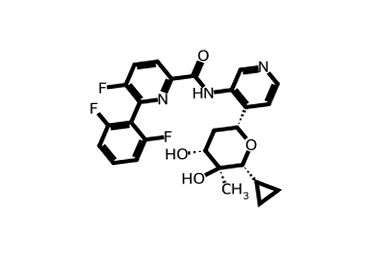 C[C@]1(O)[C@H](O)C[C@H](c2ccncc2NC(=O)c2ccc(F)c(-c3c(F)cccc3F)n2)O[C@@H]1C1CC1